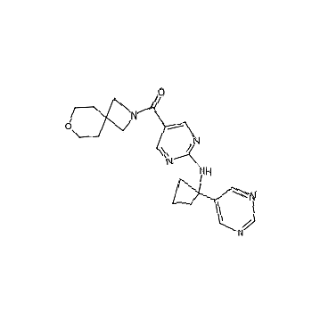 O=C(c1cnc(NC2(c3cncnc3)CCC2)nc1)N1CC2(CCOCC2)C1